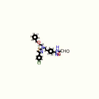 O=CC1NC(c2ccc(CCN(CCOCc3ccccc3)c3nc(-c4ccc(Cl)cc4)cs3)cc2)=NO1